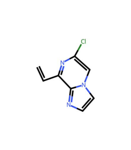 C=Cc1nc(Cl)cn2ccnc12